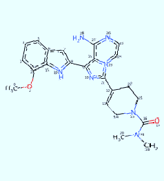 COc1cccc2cc(-c3nc(C4=CCN(C(=O)N(C)C)CC4)n4ccnc(N)c34)[nH]c12